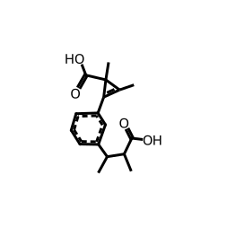 CC1=C(c2cccc(C(C)C(C)C(=O)O)c2)C1(C)C(=O)O